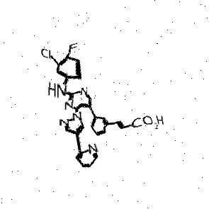 O=C(O)C=Cc1cccc(-c2cnc(Nc3ccc(F)c(Cl)c3)nc2-n2cc(-c3ccccn3)cn2)c1